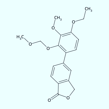 CCOc1ccc(-c2ccc3c(c2)COC3=O)c(OCOC)c1OC